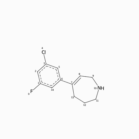 Fc1cc(Cl)cc(C2=CCNCCC2)c1